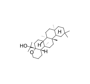 CC1(C)CC[C@]2(C)CC[C@]3(C)[C@H]4CC[C@@]5(C(C)(C)O)OCCC[C@H]5[C@]4(C)CC[C@@]3(C)[C@@H]2C1